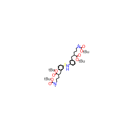 CN(CCCC(Cc1cccc(NSc2cccc(CC(CCCN(C)C(=O)OC(C)(C)C)C(=O)OC(C)(C)C)c2)c1)C(=O)OC(C)(C)C)C(=O)OC(C)(C)C